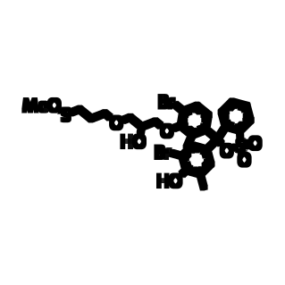 COSCCCOCC(O)COc1c(Br)ccc(C2(c3cc(C)c(O)c(Br)c3)OS(=O)(=O)c3ccccc32)c1C